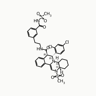 CS(=O)(=O)NC(=O)c1cccc(CCNC(=O)[C@@H]2c3ccccc3C3=CN(S(C)(=O)=O)[C@H]4CCCC[C@@H]4N3[C@H]2c2ccc(Cl)cc2Cl)c1